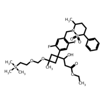 CCOC(=O)CC(O)C1(c2cc(F)c(CN3C(C)CCC(c4ccccc4)S3(=O)=O)cc2F)CC(C)(OCOCC[Si](C)(C)C)C1